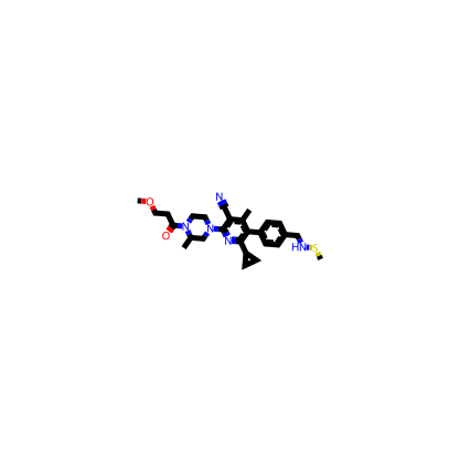 COCCC(=O)N1CCN(c2nc(C3CC3)c(-c3ccc(CNSC)cc3)c(C)c2C#N)CC1C